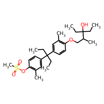 CCC(CC)(c1ccc(OCC(C)C(O)(CC)CC)c(C)c1)c1ccc(OS(C)(=O)=O)c(C)c1